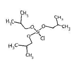 CC(C)CO[Si](Cl)(OCC(C)C)OCC(C)C